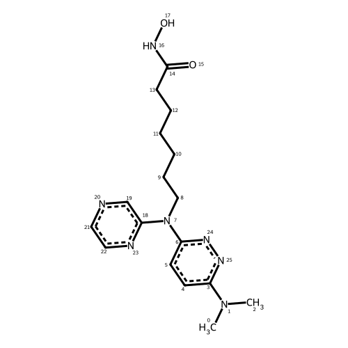 CN(C)c1ccc(N(CCCCCCC(=O)NO)c2cnccn2)nn1